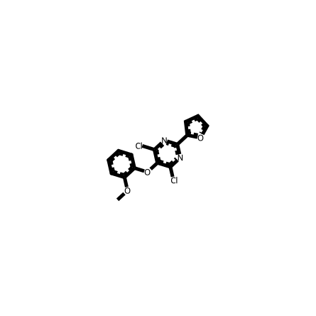 COc1ccccc1Oc1c(Cl)nc(-c2ccco2)nc1Cl